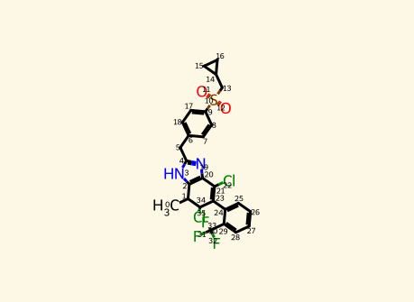 CC1c2[nH]c(Cc3ccc(S(=O)(=O)CC4CC4)cc3)nc2C(Cl)=C(c2ccccc2C(F)(F)F)C1Cl